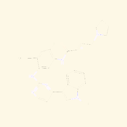 COc1cc(F)c(NC(=O)/C=C/CN2CCCC2)cc1Nc1nccc(-c2cn(C)c3ccccc23)n1